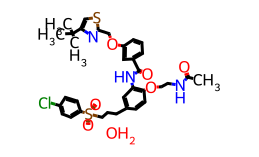 CC(=O)NCCOc1ccc(CCCS(=O)(=O)c2ccc(Cl)cc2)cc1NC(=O)c1cccc(OCc2nc(C(C)(C)C)cs2)c1.O